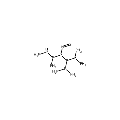 PPP(P)P(N=S)P(P(P)P)P(P)P